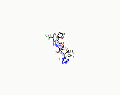 CC1(C)S[C@@H]2C(NC(=O)C(NC(=O)CCl)c3ccco3)C(=O)N2C1c1nnn[nH]1